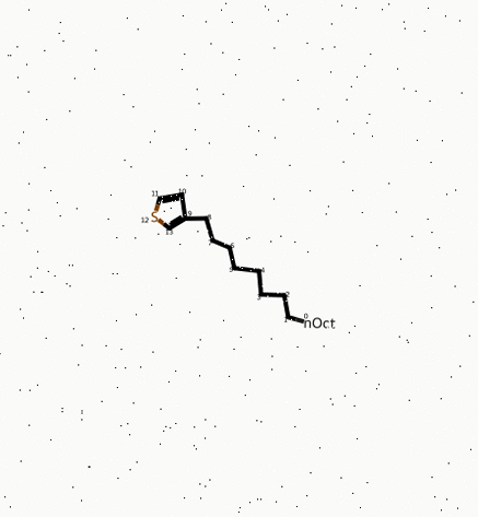 CCCCCCCCCCCCCCCCc1ccsc1